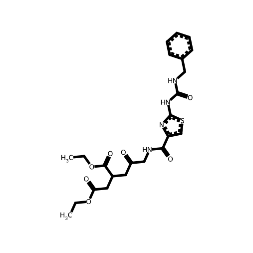 CCOC(=O)CC(CC(=O)CNC(=O)c1csc(NC(=O)NCc2ccccc2)n1)C(=O)OCC